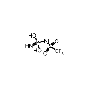 N=P(O)(O)NS(=O)(=O)C(F)(F)F